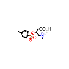 Cc1ccc(S(=O)(=O)OC(CC(=O)O)C[N+](C)(C)C)cc1